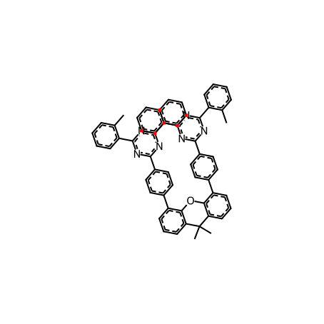 Cc1ccccc1-c1nc(-c2ccccc2)nc(-c2ccc(-c3cccc4c3Oc3c(-c5ccc(-c6nc(-c7ccccc7)nc(-c7ccccc7C)n6)cc5)cccc3C4(C)C)cc2)n1